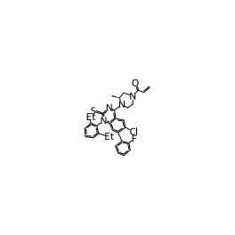 C=CC(=O)N1CCN(c2nc(=S)n(-c3c(CC)cccc3CC)c3cc(-c4ccccc4F)c(Cl)cc23)[C@@H](C)C1